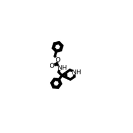 O=C(NCC1(c2ccccc2)C2CCNCC21)OCc1ccccc1